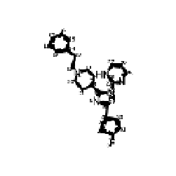 Fc1ccc(-c2nc(C3CCN(CCc4ccccc4)CC3)n(C3N=CC=CN3)n2)cc1